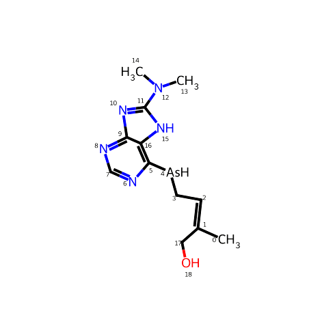 CC(=CC[AsH]c1ncnc2nc(N(C)C)[nH]c12)CO